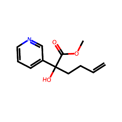 C=CCCC(O)(C(=O)OC)c1cccnc1